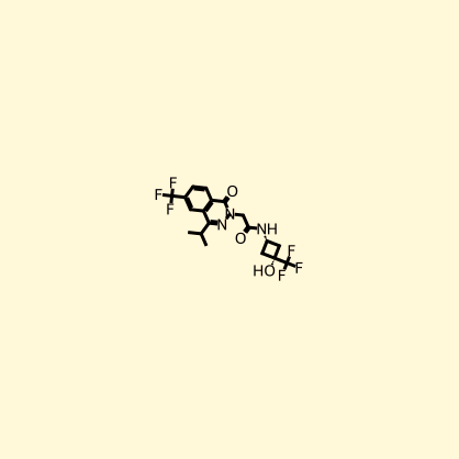 CC(C)c1nn(CC(=O)N[C@H]2C[C@](O)(C(F)(F)F)C2)c(=O)c2ccc(C(F)(F)F)cc12